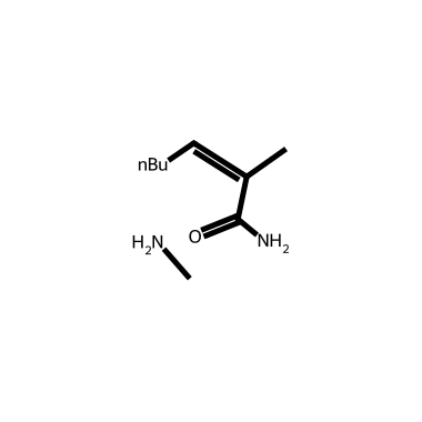 CCCCC=C(C)C(N)=O.CN